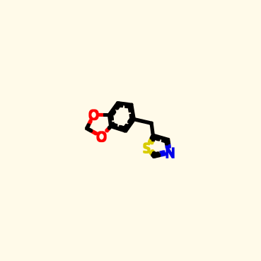 c1ncc(Cc2ccc3c(c2)OCO3)s1